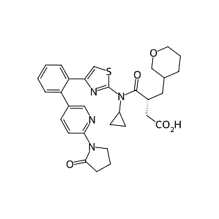 O=C(O)C[C@@H](CC1CCCOC1)C(=O)N(c1nc(-c2ccccc2-c2ccc(N3CCCC3=O)nc2)cs1)C1CC1